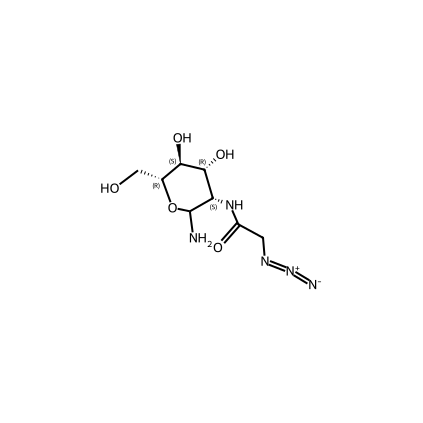 [N-]=[N+]=NCC(=O)N[C@@H]1C(N)O[C@H](CO)[C@@H](O)[C@@H]1O